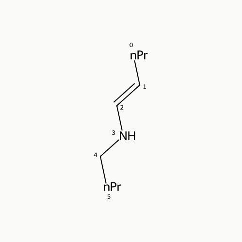 CCCC=CNCCCC